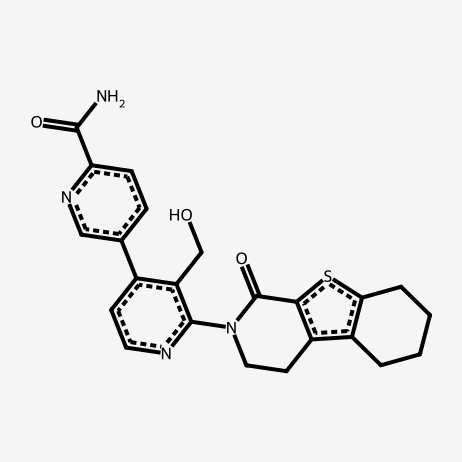 NC(=O)c1ccc(-c2ccnc(N3CCc4c(sc5c4CCCC5)C3=O)c2CO)cn1